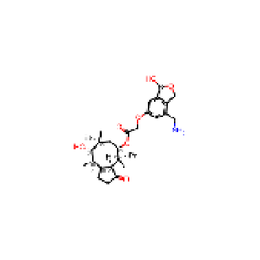 CC[C@]1(C)C[C@@H](OC(=O)COc2cc(CN)c3c(c2)B(O)OC3)[C@](C)(C(C)C)[C@@H]2C(=O)CC[C@@]2(C)[C@@H](C)[C@@H]1O